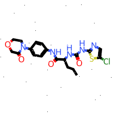 CCCC(NC(=O)Nc1ncc(Cl)s1)C(=O)Nc1ccc(N2CCOCC2=O)cc1